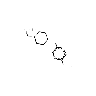 CCOC(=O)C[C@H]1CC[C@H](Oc2ccc(C=O)cn2)CC1